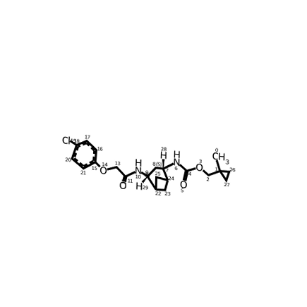 CC1(COC(=O)N[C@H]2C[C@@H](NC(=O)COc3ccc(Cl)cc3)C3CC2C3)CC1